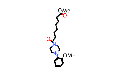 COC(=O)CCCCCCC(=O)N1CCN(c2ccccc2OC)CC1